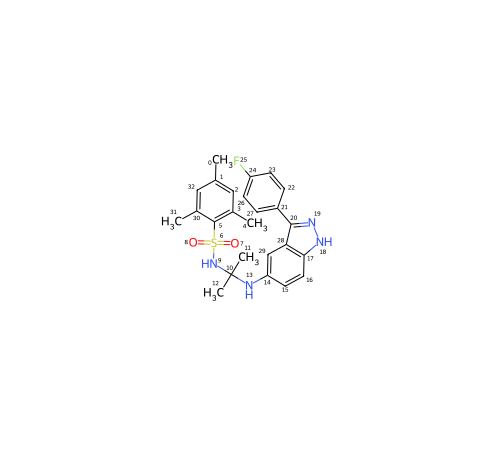 Cc1cc(C)c(S(=O)(=O)NC(C)(C)Nc2ccc3[nH]nc(-c4ccc(F)cc4)c3c2)c(C)c1